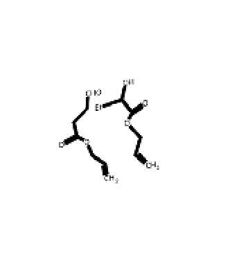 C=CCOC(=O)C(O)CC.C=CCOC(=O)CCC=O